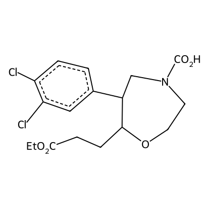 CCOC(=O)CCC1OCCN(C(=O)O)CC1c1ccc(Cl)c(Cl)c1